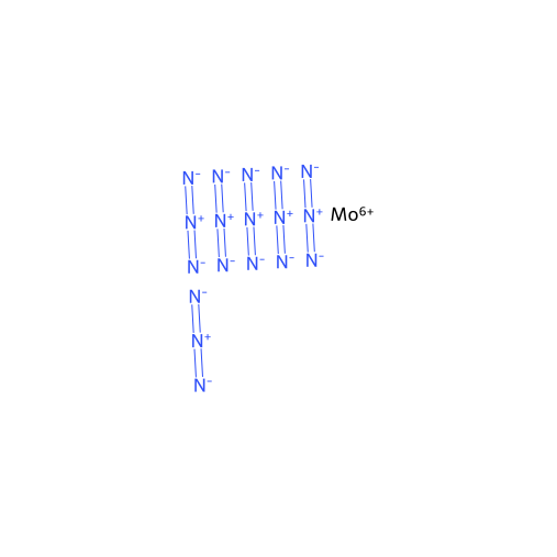 [Mo+6].[N-]=[N+]=[N-].[N-]=[N+]=[N-].[N-]=[N+]=[N-].[N-]=[N+]=[N-].[N-]=[N+]=[N-].[N-]=[N+]=[N-]